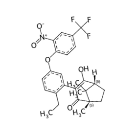 CCc1ccc(Oc2ccc(C(F)(F)F)cc2[N+](=O)[O-])cc1C1=C(O)[C@@H]2CC[C@](C)(C1=O)C2(C)C